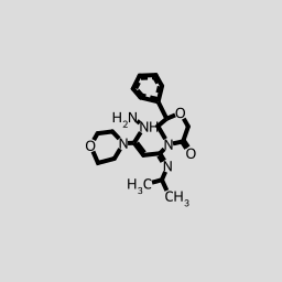 CC(C)/N=C(\C=C(/NN)N1CCOCC1)N1CC(c2ccccc2)OCC1=O